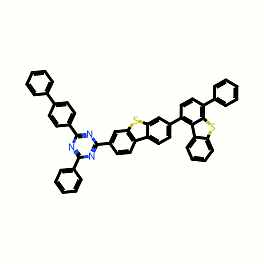 c1ccc(-c2ccc(-c3nc(-c4ccccc4)nc(-c4ccc5c(c4)sc4cc(-c6ccc(-c7ccccc7)c7sc8ccccc8c67)ccc45)n3)cc2)cc1